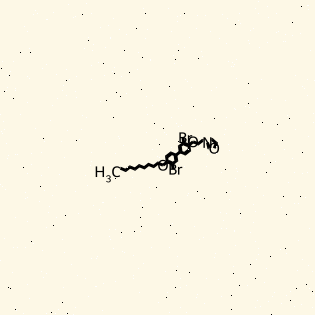 CCCCCCCCCCOc1ccc(-c2ccc(OCCN3CCOC3)c(Br)c2)cc1Br